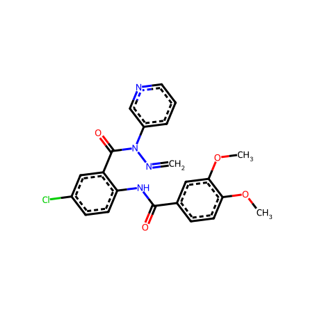 C=NN(C(=O)c1cc(Cl)ccc1NC(=O)c1ccc(OC)c(OC)c1)c1cccnc1